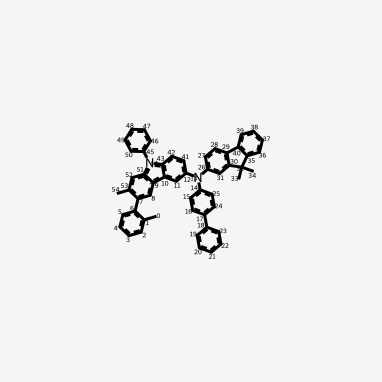 Cc1ccccc1-c1cc2c3cc(N(c4ccc(-c5ccccc5)cc4)c4ccc5c(c4)C(C)(C)c4ccccc4-5)ccc3n(-c3ccccc3)c2cc1C